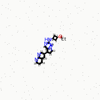 CCO[C@H]1C[C@@H](Nc2ncc3c(-c4cnc5ncccc5c4)ccn3n2)C1